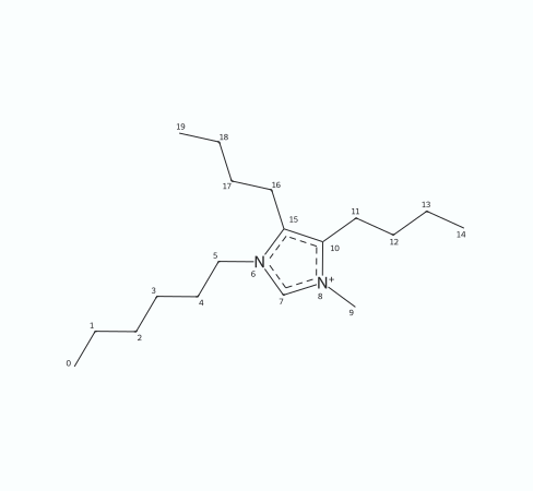 CCCCCCn1c[n+](C)c(CCCC)c1CCCC